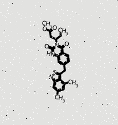 CCC(CC(=O)OC)n1c(=O)[nH]c2cc(Cc3snc4cc(C)cc(C)c34)ccc2c1=O